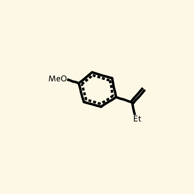 C=C(CC)c1ccc(OC)cc1